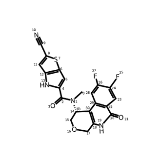 CN(C(=O)c1cc2sc(C#N)cc2[nH]1)[C@H]1COCc2[nH]c(=O)c3cc(F)c(F)cc3c21